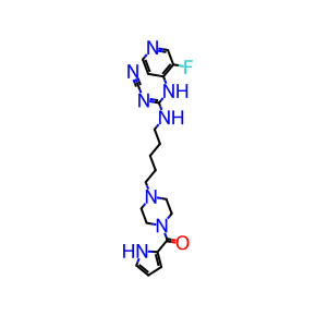 N#CN=C(NCCCCCN1CCN(C(=O)c2ccc[nH]2)CC1)Nc1ccncc1F